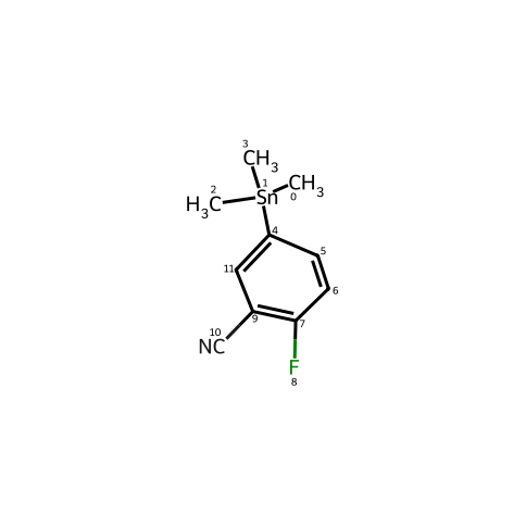 [CH3][Sn]([CH3])([CH3])[c]1ccc(F)c(C#N)c1